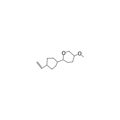 C=CC1CCC(C2CCC(OC)CO2)CC1